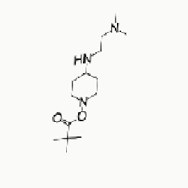 CN(C)CCNC1CCN(OC(=O)C(C)(C)C)CC1